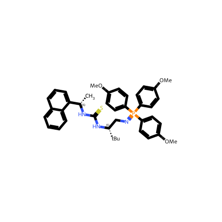 COc1ccc(P(=NC[C@@H](NC(=S)N[C@@H](C)c2cccc3ccccc23)C(C)(C)C)(c2ccc(OC)cc2)c2ccc(OC)cc2)cc1